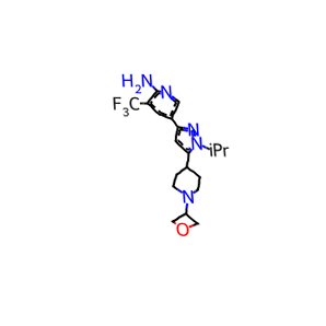 CC(C)n1nc(-c2cnc(N)c(C(F)(F)F)c2)cc1C1CCN(C2COC2)CC1